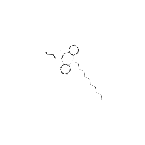 CCCCCCCCCCN1c2ccccc2C(C)=C(/C=C/C=O)c2ccccc21